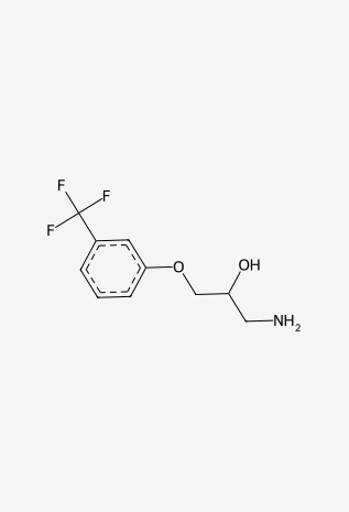 NCC(O)COc1cccc(C(F)(F)F)c1